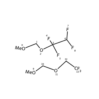 COCOC(F)(F)C(F)F.COCOCC(F)(F)F